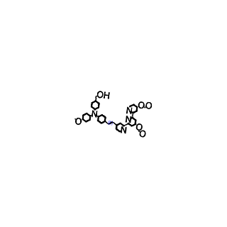 COc1ccc(N(c2ccc(/C=C/c3ccnc(-c4cc(OC=O)cc(-c5cc(OC=O)ccn5)n4)c3)cc2)c2ccc(CO)cc2)cc1